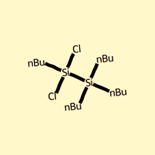 CCCC[Si](Cl)(Cl)[Si](CCCC)(CCCC)CCCC